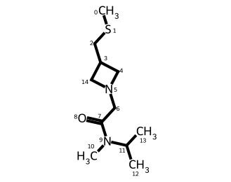 CSCC1CN(CC(=O)N(C)C(C)C)C1